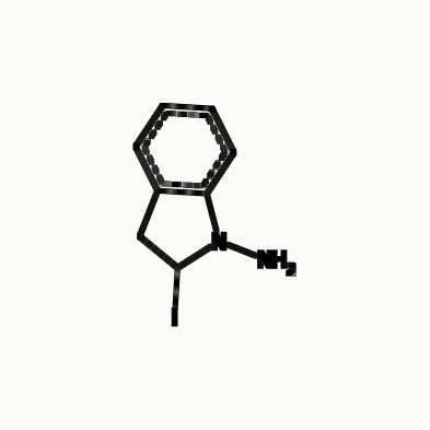 NN1c2ccccc2CC1I